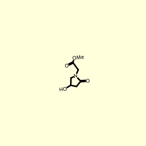 COC(=O)CN1CC(O)CC1=O